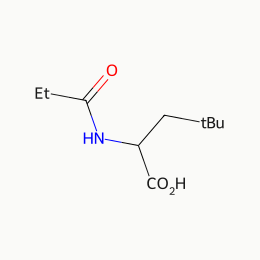 CCC(=O)NC(CC(C)(C)C)C(=O)O